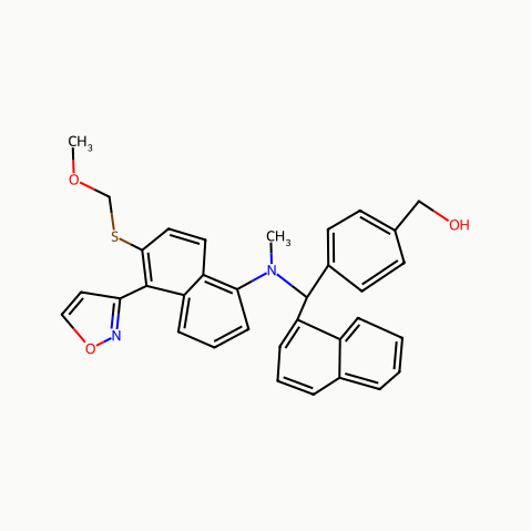 COCSc1ccc2c(N(C)C(c3ccc(CO)cc3)c3cccc4ccccc34)cccc2c1-c1ccon1